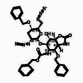 [N-]=[N+]=NC[C@H]1O[C@H](O[C@H]2[C@H](O)[C@H]3OC(=O)N[C@@H]3[C@@H](OCc3ccccc3)[C@@H]2NC(=O)OCc2ccccc2)[C@H](N=[N+]=[N-])C[C@@H]1OCc1ccccc1